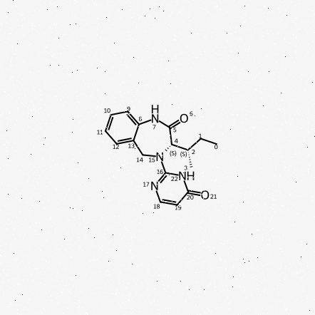 CC[C@H](C)[C@H]1C(=O)Nc2ccccc2CN1c1nccc(=O)[nH]1